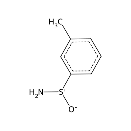 Cc1cccc([S+](N)[O-])c1